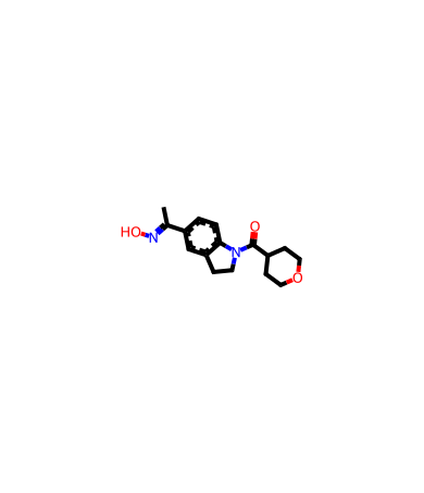 CC(=NO)c1ccc2c(c1)CCN2C(=O)C1CCOCC1